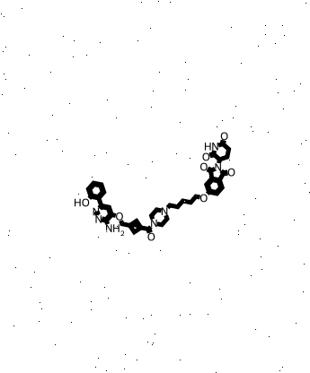 Nc1nnc(-c2ccccc2O)cc1OCC12CC(C(=O)N3CCN(CCCCCOc4ccc5c(c4)C(=O)N(C4CCC(=O)NC4=O)C5=O)CC3)(C1)C2